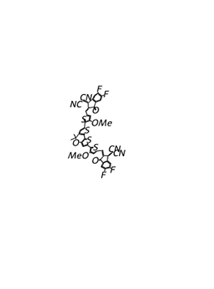 COc1cc(/C=C2\C(=O)c3cc(F)c(F)cc3C2=C(C#N)C#N)sc1-c1cc2c(s1)-c1sc(-c3sc(/C=C4\C(=O)c5cc(F)c(F)cc5C4=C(C#N)C#N)cc3OC)cc1C(C)(C)O2